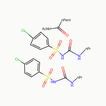 CCCCCC(=O)NC(C)=O.CCCNC(=O)NS(=O)(=O)c1ccc(Cl)cc1.CCCNC(=O)NS(=O)(=O)c1ccc(Cl)cc1